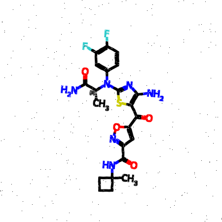 C[C@H](C(N)=O)N(c1ccc(F)c(F)c1)c1nc(N)c(C(=O)c2cc(C(=O)NC3(C)CCC3)no2)s1